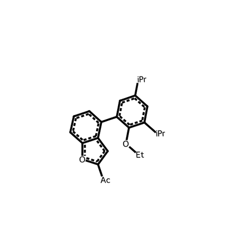 CCOc1c(-c2cccc3oc(C(C)=O)cc23)cc(C(C)C)cc1C(C)C